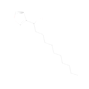 CCCCCCCCCCC(O)c1ccoc1